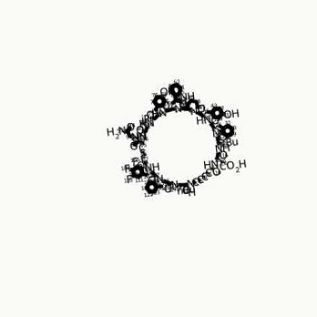 CCCC[C@H]1C(=O)NCCCCC(=O)N[C@@H](CC(=O)O)C(=O)N[C@@H](C(C)(C)C)C(=O)N(C)[C@@H](Cc2ccccc2)C(=O)N[C@@H](Cc2ccc(O)cc2)C(=O)N2CCCC[C@@H]2C(=O)N[C@@H](Cc2c[nH]c3ccccc23)C(=O)N[C@@H](Cc2ccc(O)cc2)C(=O)N[C@@H](CC(C)C)C(=O)N[C@H](C(=O)NCC(N)=O)CSCC(=O)N[C@@H](Cc2cc(F)c(F)c(F)c2)C(=O)N(C)[C@@H](Cc2ccccc2)C(=O)N1C